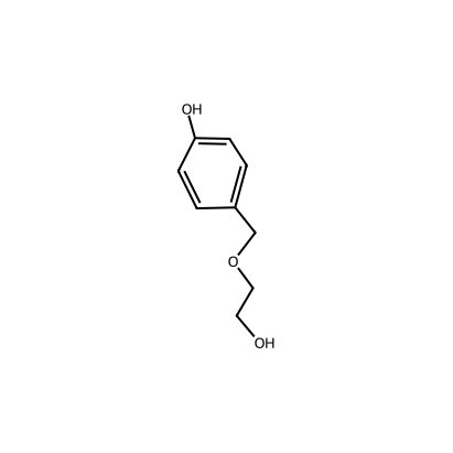 OCCOCc1ccc(O)cc1